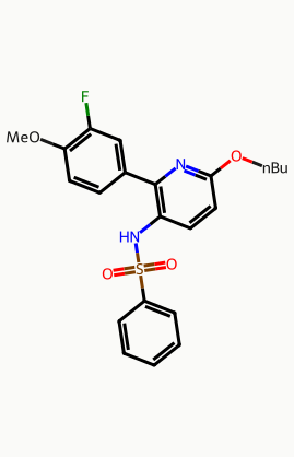 CCCCOc1ccc(NS(=O)(=O)c2ccccc2)c(-c2ccc(OC)c(F)c2)n1